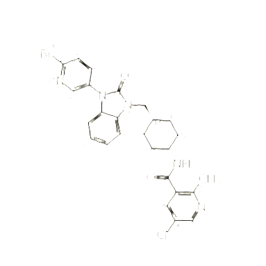 Cc1ncc(Cl)cc1C(=O)N[C@H]1CC[C@H](Cn2c(=O)n(-c3ccc(Br)nc3)c3ccccc32)CC1